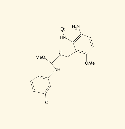 CCNc1c(N)ccc(OC)c1CNC(Nc1cccc(Cl)c1)OC